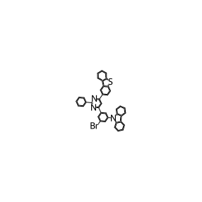 Brc1cc(-c2cc(-c3ccc4sc5ccccc5c4c3)nc(-c3ccccc3)n2)cc(-n2c3ccccc3c3ccccc32)c1